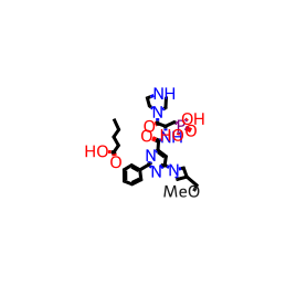 CCCCC(=O)O.COCC1CN(c2cc(C(=O)NC(CP(=O)(O)O)C(=O)N3CCNCC3)nc(-c3ccccc3)n2)C1